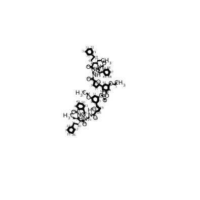 CCOc1cc(O[PH](=O)Oc2cc(OCC)cc(-c3ccc(C(=O)NCNC(=O)[C@H](CCc4ccccc4)[C@@H](CC)N(C=O)OCc4ccccc4)o3)c2)cc(-c2ccc(C(=O)NCNC(=O)[C@H](CCc3ccccc3)[C@@H](CC)N(C=O)OCc3ccccc3)o2)c1